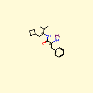 CB(C)[C@H](CC1CCC1)NC(=O)[C@H](Cc1ccccc1)NP